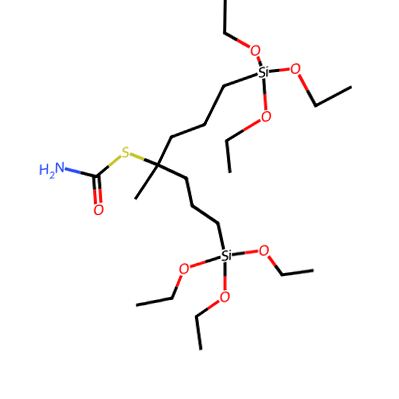 CCO[Si](CCCC(C)(CCC[Si](OCC)(OCC)OCC)SC(N)=O)(OCC)OCC